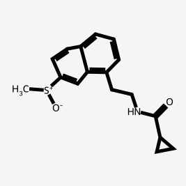 C[S+]([O-])c1ccc2cccc(CCNC(=O)C3CC3)c2c1